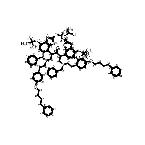 CC(C)Oc1nc2c(OC(C)(C)C)ccc(C(CN(CCc3ccc(OCCCCc4ccccc4)cc3)Cc3ccccc3)C(=O)C(CN(CCc3ccc(OCCCCc4ccccc4)cc3)Cc3ccccc3)c3ccc(OC(C)(C)C)c4nc(OC(C)C)sc34)c2s1